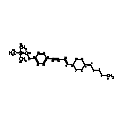 CCCCC[C@H]1CC[C@H](C=CC#Cc2ccc(CO[Si](C)(C)C)cc2)CC1